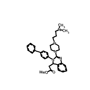 COC(=O)CC1c2ccccc2N=C(N2CCN(CCCN(C)C)CC2)N1c1ccc(-c2ccccc2)cc1